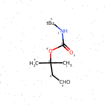 CC(C)(C)NC(=O)OC(C)(C)CC=O